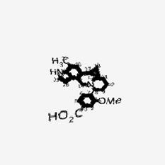 COc1cc(C(=O)O)ccc1[C@@H]1CCCCN1Cc1c(C2CC2)cc(C)c2[nH]ccc12